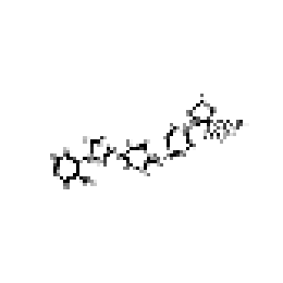 CCOC(=O)C1(C(=O)OCC)CCCN1c1ccc(Oc2ccc(-c3nc(-c4ccccc4F)co3)cc2)nc1